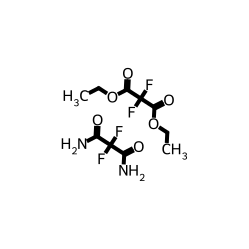 CCOC(=O)C(F)(F)C(=O)OCC.NC(=O)C(F)(F)C(N)=O